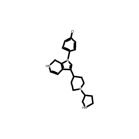 Clc1ccc(-n2cc(C3CCN(C4CCNC4)CC3)c3c2CNC=C3)cc1